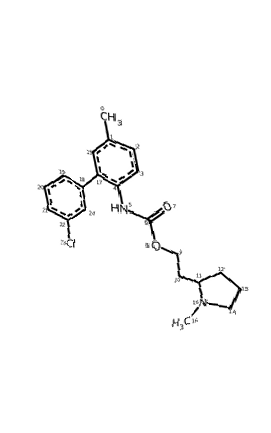 Cc1ccc(NC(=O)OCCC2CCCN2C)c(-c2cccc(Cl)c2)c1